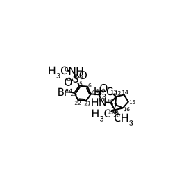 CNS(=O)(=O)c1cc(C(=O)NC2C3(C)CCC(C3)C2(C)C)ccc1Br